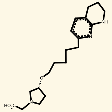 O=C(O)CN1CC[C@@H](OCCCCCc2ccc3c(n2)NCCC3)C1